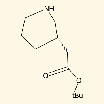 CC(C)(C)OC(=O)C[C@@H]1CCCNC1